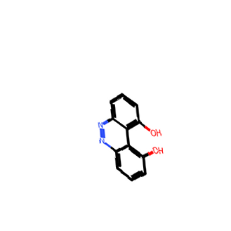 Oc1cccc2nnc3cccc(O)c3c12